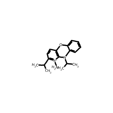 CC(C)c1ccc2c([n+]1N)N(C(C)C)c1ccccc1O2